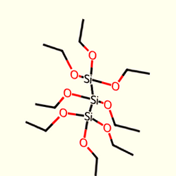 CCO[Si](OCC)(OCC)[Si](OCC)(OCC)[Si](OCC)(OCC)OCC